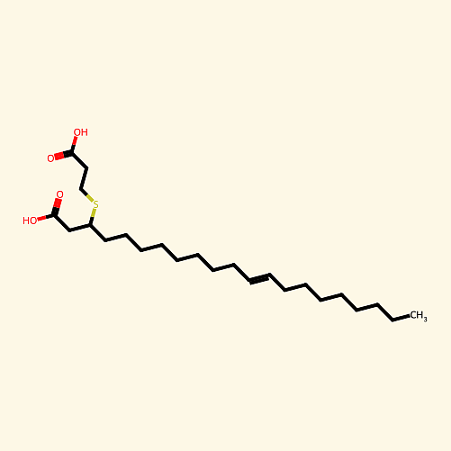 CCCCCCCCC=CCCCCCCCCC(CC(=O)O)SCCC(=O)O